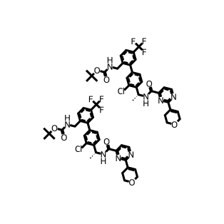 C[C@@H](NC(=O)c1ccnc(C2=CCOCC2)n1)c1ccc(-c2cc(C(F)(F)F)ccc2CNC(=O)OC(C)(C)C)cc1Cl.C[C@@H](NC(=O)c1ccnc(C2=CCOCC2)n1)c1ccc(-c2cc(C(F)(F)F)ccc2CNC(=O)OC(C)(C)C)cc1Cl